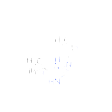 C/C=C\C/N=C(/C=N)N/C=C(\C)C(C)C